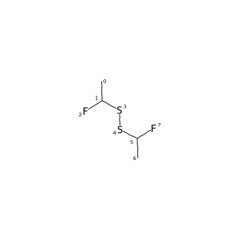 CC(F)SSC(C)F